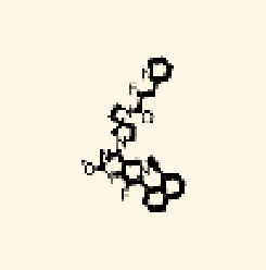 C#Cc1cccc2cccc(-c3ncc4c(N5CCC6(CCN6C(=O)/C(F)=C/c6ccccn6)C5)nc(OC)nc4c3F)c12